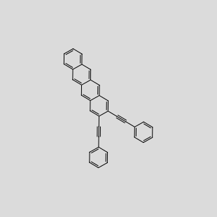 C(#Cc1cc2cc3cc4ccccc4cc3cc2cc1C#Cc1ccccc1)c1ccccc1